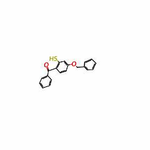 O=C(c1ccccc1)c1ccc(OCc2ccccc2)cc1S